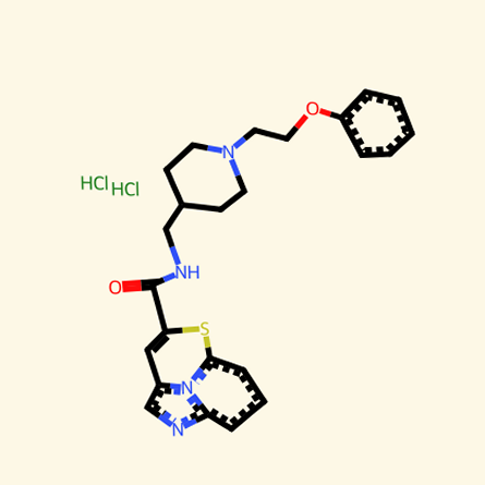 Cl.Cl.O=C(NCC1CCN(CCOc2ccccc2)CC1)C1=Cc2cnc3cccc(n23)S1